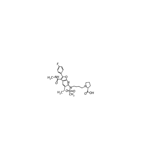 CCc1cc2c(C(=O)NC)c(-c3ccc(F)cc3)oc2nc1N(CCCCN1CCC[C@H]1C(=O)O)S(C)(=O)=O